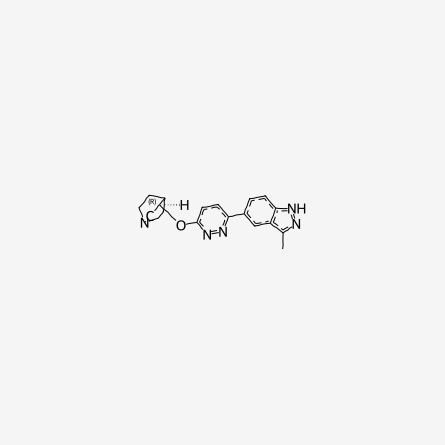 Cc1n[nH]c2ccc(-c3ccc(O[C@H]4CN5CCC4CC5)nn3)cc12